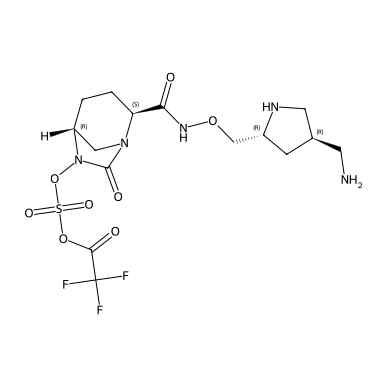 NC[C@@H]1CN[C@@H](CONC(=O)[C@@H]2CC[C@@H]3CN2C(=O)N3OS(=O)(=O)OC(=O)C(F)(F)F)C1